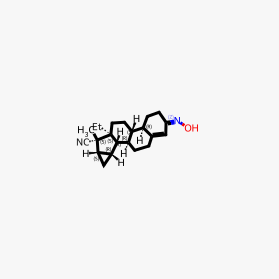 CC[C@]12CC[C@H]3[C@@H](CCC4=C/C(=N\O)CC[C@@H]43)[C@@H]1[C@@H]1C[C@@H]1[C@]2(C)C#N